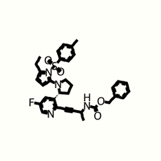 CCc1ccc(N2CCC[C@@H]2c2cc(F)cnc2C#CC(C)NC(=O)OCc2ccccc2)n1S(=O)(=O)c1ccc(C)cc1